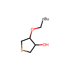 CCCCCOC1CSCC1O